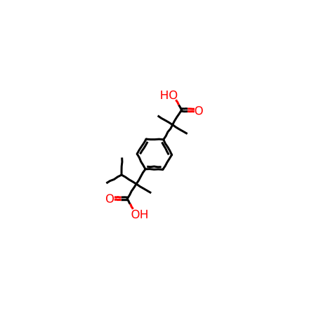 CC(C)C(C)(C(=O)O)c1ccc(C(C)(C)C(=O)O)cc1